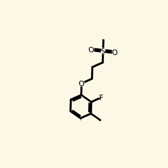 Cc1[c]ccc(OCCCS(C)(=O)=O)c1F